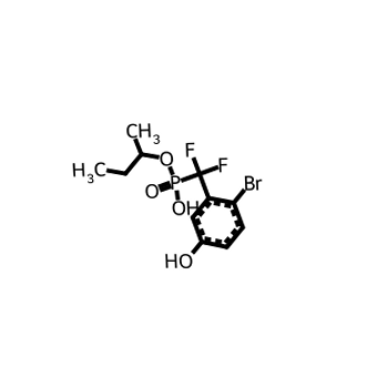 CCC(C)OP(=O)(O)C(F)(F)c1cc(O)ccc1Br